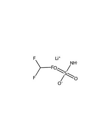 FC(F)F.[Li+].[NH]S(=O)(=O)[O-]